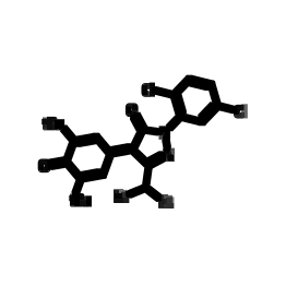 CCC(CC)C1=NN(c2cc(Cl)ccc2Cl)C(=O)C1=C1C=C(C(C)(C)C)C(=O)C(C(C)(C)C)=C1